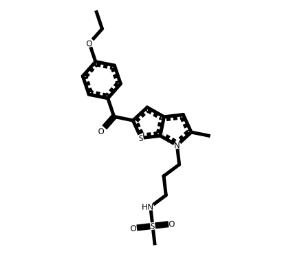 CCOc1ccc(C(=O)c2cc3cc(C)n(CCCNS(C)(=O)=O)c3s2)cc1